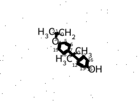 C=C(C)Oc1ccc(C(C)(C)c2ccc(O)cc2)cc1